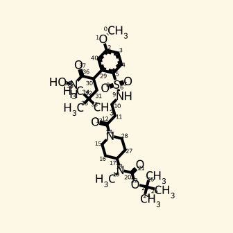 COc1ccc(S(=O)(=O)NCCC(=O)N2CCC(N(C)C(=O)OC(C)(C)C)CC2)c(C(CC(C)(C)C)C(=O)NO)c1